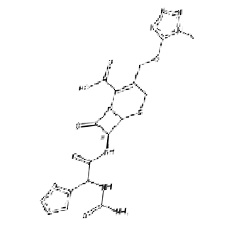 Cn1nnnc1SCC1=C(C(=O)O)N2C(=O)[C@H](NC(=O)C(NC(N)=O)c3ccco3)C2SC1